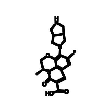 C[C@H]1COc2c(N3CC4CNCC4C3)c(F)cc3cc(C(=O)O)c(=O)n1c23